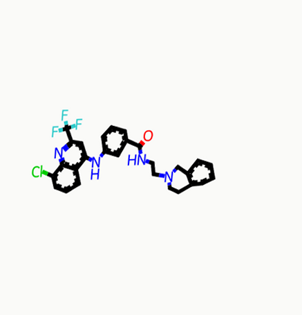 O=C(NCCN1CCc2ccccc2C1)c1cccc(Nc2cc(C(F)(F)F)nc3c(Cl)cccc23)c1